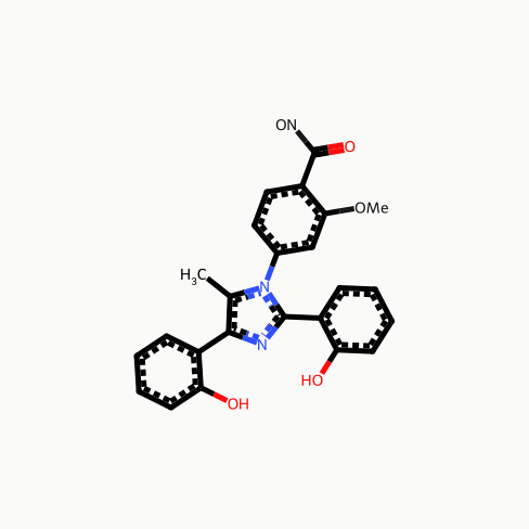 COc1cc(-n2c(-c3ccccc3O)nc(-c3ccccc3O)c2C)ccc1C(=O)N=O